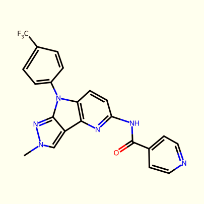 Cn1cc2c3nc(NC(=O)c4ccncc4)ccc3n(-c3ccc(C(F)(F)F)cc3)c2n1